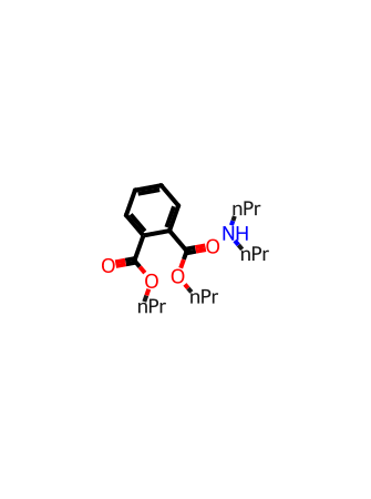 CCCNCCC.CCCOC(=O)c1ccccc1C(=O)OCCC